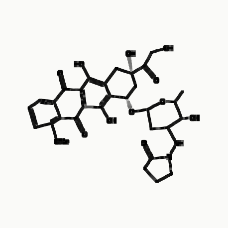 COc1cccc2c1C(=O)c1c(O)c3c(c(O)c1C2=O)C[C@@](O)(C(=O)CO)C[C@@H]3OC1CC(NN2CCCC2=O)C(O)C(C)O1